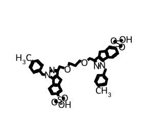 Cc1ccc(Cn2nc(COCCCOCc3nn(Cc4ccc(C)cc4)c4c3Cc3cc(S(=O)(=O)O)ccc3-4)c3c2-c2ccc(S(=O)(=O)O)cc2C3)cc1